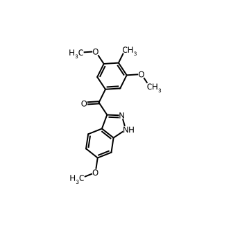 COc1ccc2c(C(=O)c3cc(OC)c(C)c(OC)c3)n[nH]c2c1